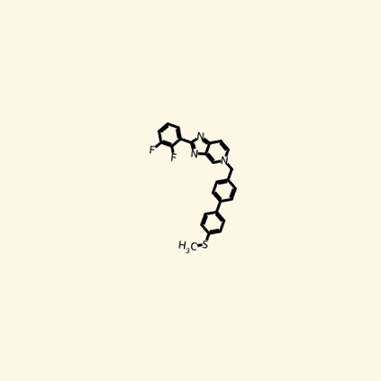 CSc1ccc(-c2ccc(Cn3ccc4nc(-c5cccc(F)c5F)nc-4c3)cc2)cc1